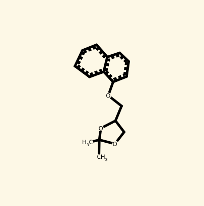 CC1(C)OCC(COc2cccc3ccccc23)O1